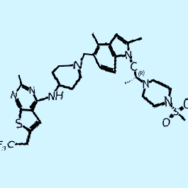 Cc1nc(NC2CCN(Cc3ccc4c(cc(C)n4C[C@@H](C)N4CCN(S(C)(=O)=O)CC4)c3C)CC2)c2cc(CC(F)(F)F)sc2n1